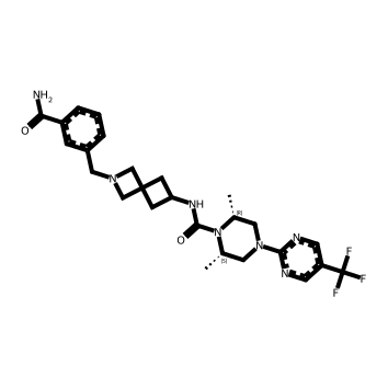 C[C@@H]1CN(c2ncc(C(F)(F)F)cn2)C[C@H](C)N1C(=O)NC1CC2(C1)CN(Cc1cccc(C(N)=O)c1)C2